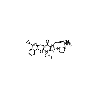 CC#CCn1c(N2CCC[C@@H](N)C2)nc2c1c(=O)n(Cc1nc(C3CC3)c3ccccc3n1)c(=O)n2C